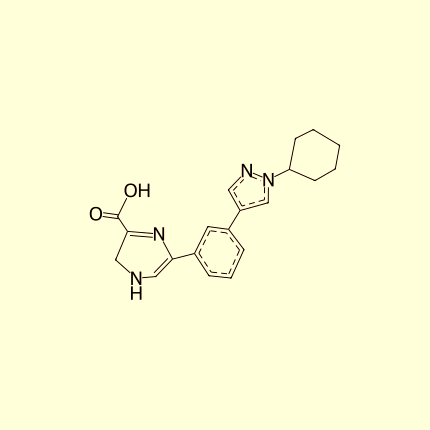 O=C(O)C1=NC(c2cccc(-c3cnn(C4CCCCC4)c3)c2)=CNC1